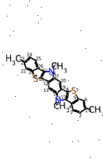 Cc1ccc2c(c1)sc1c3cc4c(cc3n(C)c21)c1sc2cc(C)ccc2c1n4C